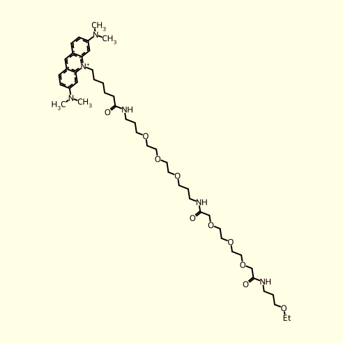 CCOCCCNC(=O)COCCOCCOCC(=O)NCCCOCCOCCOCCCNC(=O)CCCCC[n+]1c2cc(N(C)C)ccc2cc2ccc(N(C)C)cc21